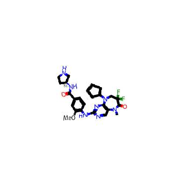 COc1cc(C(=O)N[C@H]2CCNC2)ccc1Nc1ncc2c(n1)N(C1CCCC1)CC(F)(F)C(=O)N2C